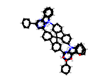 c1ccc(-c2nc(-c3ccccc3)nc(-c3ccc4c(c3)C3(c5cc(-c6nc(-c7ccccc7)nc(-c7ccccc7)n6)ccc5-4)c4cc(-n5c6ccccc6c6ccccc65)ccc4-c4ccc(-n5c6ccccc6c6ccccc65)cc43)n2)cc1